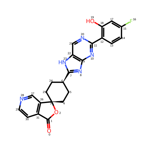 O=C1O[C@]2(CC[C@H](c3nc4nc(-c5ccc(F)cc5O)ncc4[nH]3)CC2)c2cnccc21